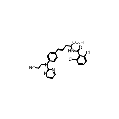 N#CCCN(c1ccc(/C=C/CC(NC(=O)c2c(Cl)cccc2Cl)C(=O)O)cc1)c1ncccn1